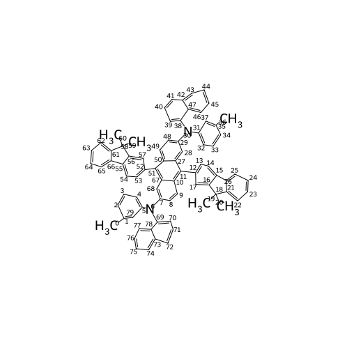 Cc1cccc(N(c2ccc3c(-c4ccc5c(c4)C(C)(C)c4ccccc4-5)c4cc(N(c5cccc(C)c5)c5cccc6ccccc56)ccc4c(-c4ccc5c(c4)C(C)(C)c4ccccc4-5)c3c2)c2cccc3ccccc23)c1